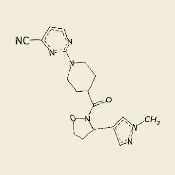 Cn1cc(C2CCON2C(=O)C2CCN(c3nccc(C#N)n3)CC2)cn1